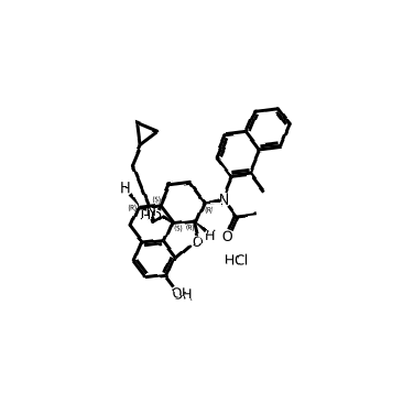 CC(=O)N(c1ccc2ccccc2c1C)[C@@H]1CC[C@@]2(O)[C@H]3Cc4ccc(O)c5c4[C@@]2(CCN3CC2CC2)[C@H]1O5.Cl